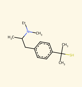 CCN(C)C(C)Cc1ccc(C(C)(C)S)cc1